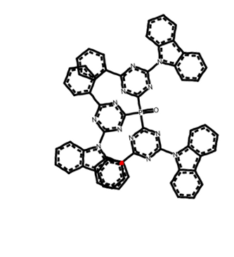 O=P(c1nc(-c2ccccc2)nc(-n2c3ccccc3c3ccccc32)n1)(c1nc(-c2ccccc2)nc(-n2c3ccccc3c3ccccc32)n1)c1nc(-c2ccccc2)nc(-n2c3ccccc3c3ccccc32)n1